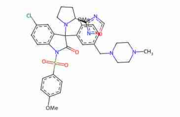 COc1ccc(S(=O)(=O)N2C(=O)C(c3cc(CN4CCN(C)CC4)ccc3OC)(N3CCC[C@H]3c3ncon3)c3cc(Cl)ccc32)cc1